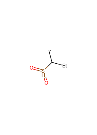 [CH2]C(CC)[SH](=O)=O